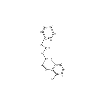 Cc1cccc(C)c1/C=C\CCOCc1ccccc1